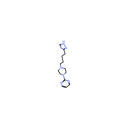 c1cnc(N2CCN(CCCCc3nc[nH]n3)CC2)nc1